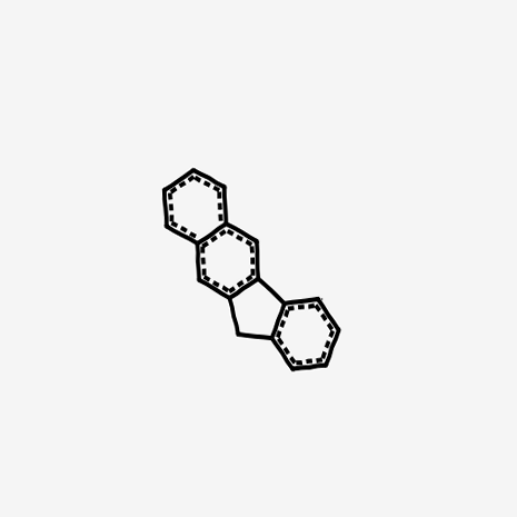 [c]1cccc2c1-c1cc3ccccc3cc1C2